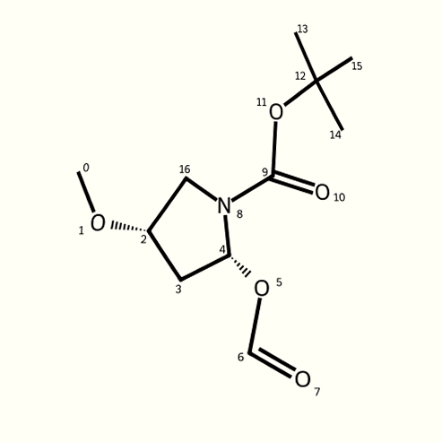 CO[C@H]1C[C@@H](OC=O)N(C(=O)OC(C)(C)C)C1